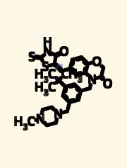 CN1CCN(Cc2cc(CN3C(=O)COc4ccc(/C=C5/SC(=S)NC5=O)cc43)cc(C(C)(C)C)c2)CC1